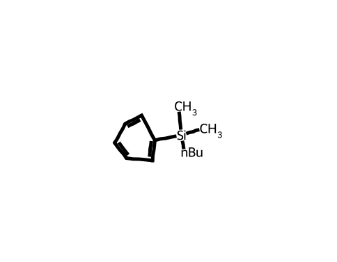 CCCC[Si](C)(C)c1ccccc1